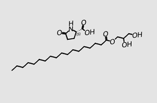 CCCCCCCCCCCCCCCCCC(=O)OCC(O)CO.O=C1CC[C@@H](C(=O)O)N1